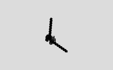 CCCCCCCCCCCCCCCC(=O)NC[C@H](NC(=O)CCCCCCCCCCCCCCC)C(=O)C(C)C